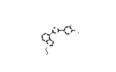 CC(C)Oc1ncc(-c2nc(-c3cccc4c3ccn4CCC(=O)O)no2)cc1Cl